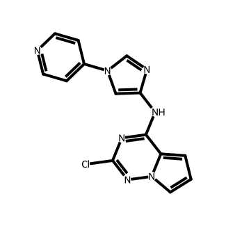 Clc1nc(Nc2cn(-c3ccncc3)cn2)c2cccn2n1